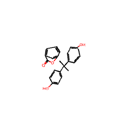 CC(C)(c1ccc(O)cc1)c1ccc(O)cc1.O=C1Oc2cccc1c2